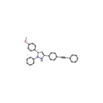 COc1ccc(C2C=C(c3ccc(C#Cc4ccccc4)cc3)NN2c2ccccc2)cc1